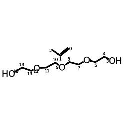 C=CC.OCCOCCOCCOCCO